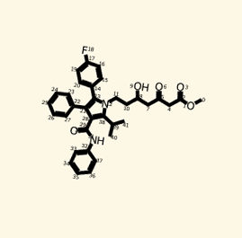 COC(=O)CC(=O)CC(O)CCn1c(-c2ccc(F)cc2)c(-c2ccccc2)c(C(=O)Nc2ccccc2)c1C(C)C